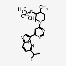 CC1CCN(c2cc(-c3cnc4ccc(C(F)F)nn34)ncn2)CC1N=S(C)(C)=O